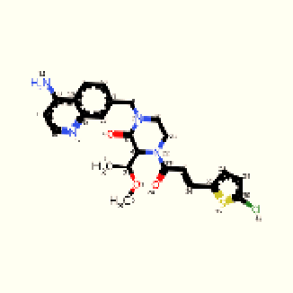 CO[C@@H](C)C1C(=O)N(Cc2ccc3c(N)ccnc3c2)CCN1C(=O)/C=C/c1ccc(Cl)s1